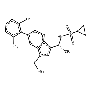 CC(C)(C)Cn1cc([C@H](NS(=O)(=O)C2CC2)C(F)(F)F)c2ccc(-c3c(C#N)cccc3C(F)(F)F)cc21